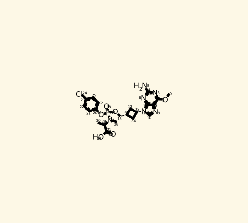 COc1nc(N)nc2c1ncn2[C@H]1C[C@@H](COP(=O)(Oc2ccc(Cl)cc2)N(C)C(C)C(=O)O)C1